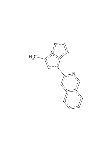 Cc1cn(-c2cc3ccccc3cn2)c2nccn12